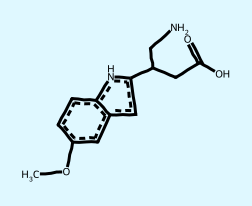 COc1ccc2[nH]c(C(CN)CC(=O)O)cc2c1